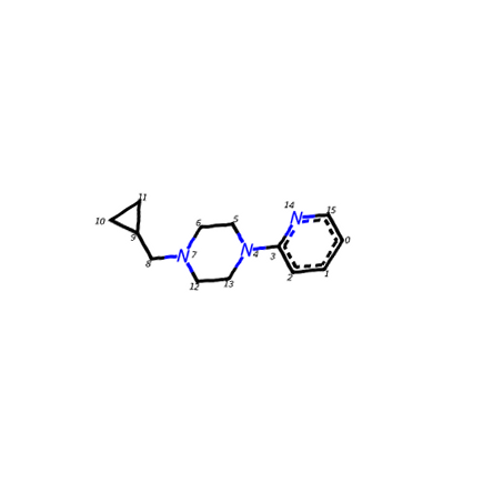 c1ccc(N2CCN(CC3CC3)CC2)nc1